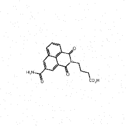 NC(=O)c1cc2c3c(cccc3c1)C(=O)N(CCCC(=O)O)C2=O